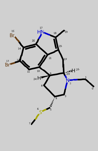 CCN1C[C@H](CSC)C[C@@H]2c3cc(Br)c(Br)c4[nH]c(C)c(c34)C[C@H]21